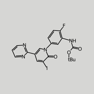 CC(C)(C)OC(=O)Nc1cc(-n2cc(-c3ncccn3)cc(I)c2=O)ccc1F